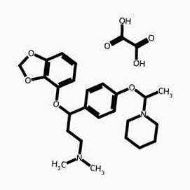 CC(Oc1ccc(C(CCN(C)C)Oc2cccc3c2OCO3)cc1)N1CCCCC1.O=C(O)C(=O)O